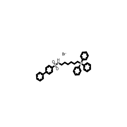 O=S(=O)(NCCCCCC[P+](c1ccccc1)(c1ccccc1)c1ccccc1)c1ccc(-c2ccccc2)cc1.[Br-]